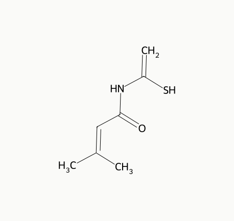 C=C(S)NC(=O)C=C(C)C